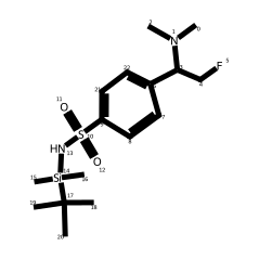 CN(C)C(CF)c1ccc(S(=O)(=O)N[Si](C)(C)C(C)(C)C)cc1